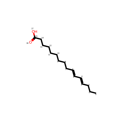 CCCC=CC=CCCCCCCCCC(=O)O